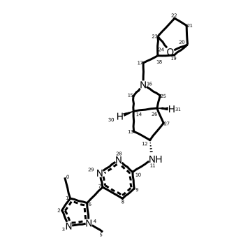 Cc1cnn(C)c1-c1ccc(N[C@@H]2C[C@@H]3CN(CC4CC5CCC4O5)C[C@@H]3C2)nn1